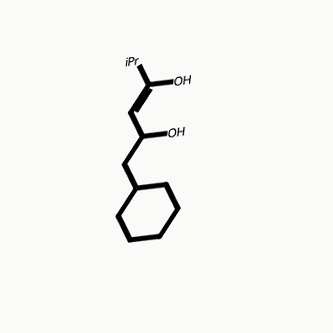 CC(C)C(O)=CC(O)CC1CCCCC1